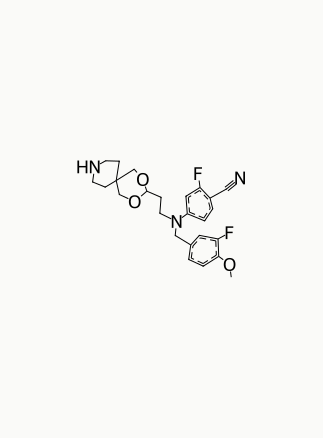 COc1ccc(CN(CCC2OCC3(CCNCC3)CO2)c2ccc(C#N)c(F)c2)cc1F